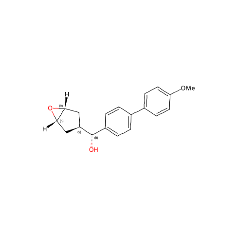 COc1ccc(-c2ccc([C@H](O)[C@H]3C[C@@H]4O[C@@H]4C3)cc2)cc1